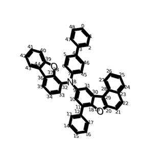 c1ccc(-c2ccc(N(c3cc(-c4ccccc4)c4oc5ccc6ccccc6c5c4c3)c3cccc4c3oc3ccccc34)cc2)cc1